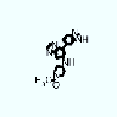 CC(=O)N1CCC(Nc2cc(-c3ccc4nc[nH]c4c3)c3nccnc3c2)CC1